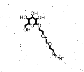 [N-]=[N+]=NCCOCCOCCOC1OC(CO)C(O)C(O)C1O